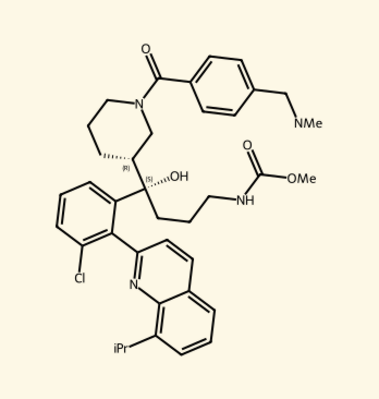 CNCc1ccc(C(=O)N2CCC[C@@H]([C@@](O)(CCCNC(=O)OC)c3cccc(Cl)c3-c3ccc4cccc(C(C)C)c4n3)C2)cc1